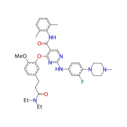 CCN(CC)C(=O)CCc1ccc(OC)c(Oc2nc(Nc3ccc(N4CCN(C)CC4)c(F)c3)ncc2C(=O)Nc2c(C)cccc2C)c1